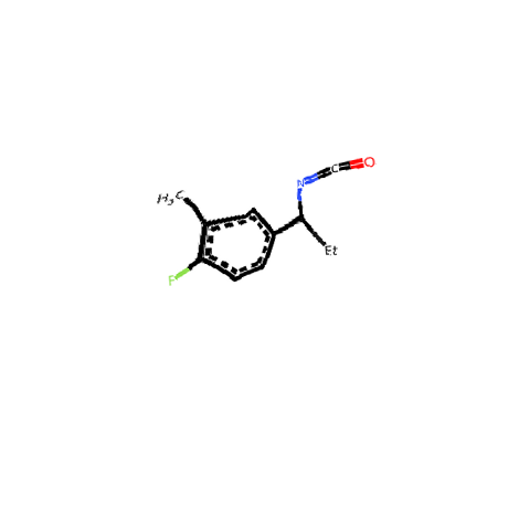 CCC(N=C=O)c1ccc(F)c(C)c1